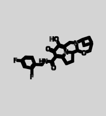 O=C(NCc1ccc(F)cc1F)c1c2n3c(c(O)c1=O)CN1C4CC(COC1C3CC2)C4